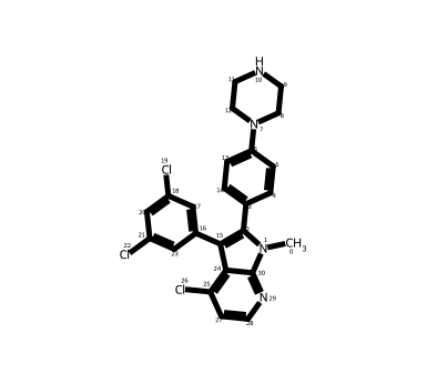 Cn1c(-c2ccc(N3CCNCC3)cc2)c(-c2cc(Cl)cc(Cl)c2)c2c(Cl)ccnc21